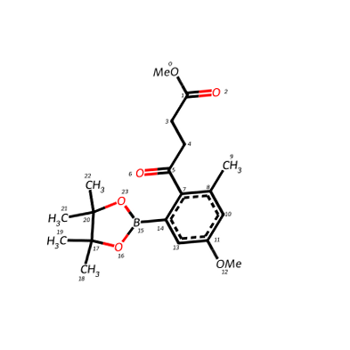 COC(=O)CCC(=O)c1c(C)cc(OC)cc1B1OC(C)(C)C(C)(C)O1